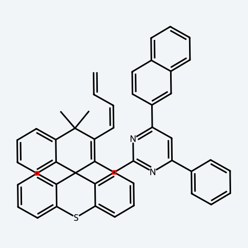 C=C/C=C\C1=C(Cc2nc(-c3ccccc3)cc(-c3ccc4ccccc4c3)n2)C2(c3ccccc3Sc3ccccc32)c2ccccc2C1(C)C